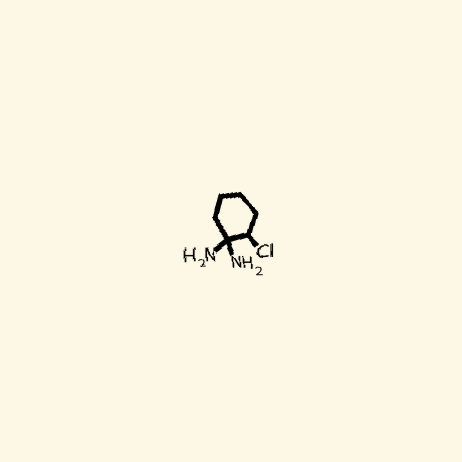 NC1(N)CCCCC1Cl